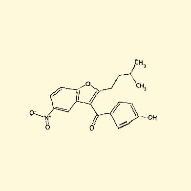 CC(C)CCc1oc2ccc([N+](=O)[O-])cc2c1C(=O)c1ccc(O)cc1